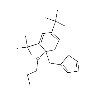 CCCOC1(CC2=CC=CC2)CC=C(C(C)(C)C)C=C1C(C)(C)C